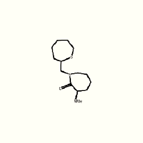 CNC1CCCCN(CC2CCCCCS2)C1=O